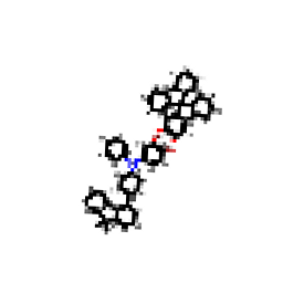 CC1(C)c2ccccc2-c2c(-c3ccc(N(c4ccccc4)c4ccc5c(c4)Oc4cc6c(cc4O5)-c4ccccc4C64c5ccccc5-c5ccccc54)cc3)cccc21